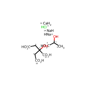 CC(O)C(=O)O.Cl.O=C(O)CC(O)(CC(=O)O)C(=O)O.[CaH2].[NaH].[NaH]